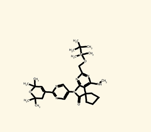 CNc1nc(CO[Si](C)(C)C(C)(C)C)nc2c1C1(CCCC1)C(=O)N2c1cnc(C2=CC(C)(C)OC(C)(C)C2)nc1